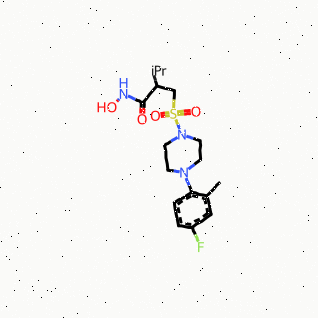 Cc1cc(F)ccc1N1CCN(S(=O)(=O)CC(C(=O)NO)C(C)C)CC1